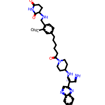 N=C/C(=C\NC1CCN(C(=O)CCCCCc2ccc(CNC3CCC(=O)NC3=O)c(C=O)c2)CC1)c1cnc2ccccc2n1